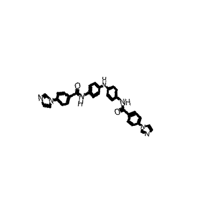 O=C(Nc1ccc(Nc2ccc(NC(=O)c3ccc(-n4ccnc4)cc3)cc2)cc1)c1ccc(-n2ccnc2)cc1